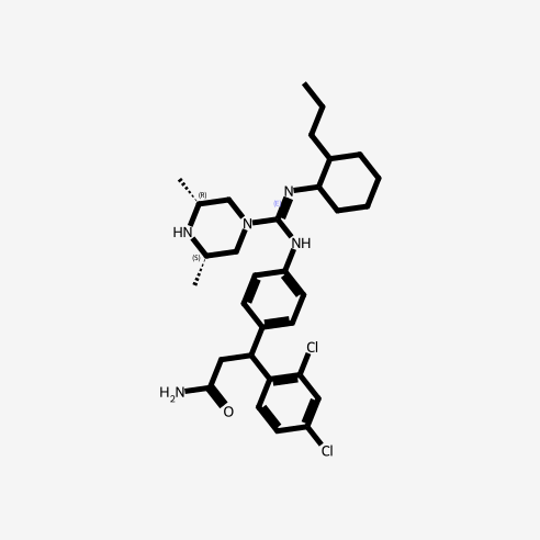 CCCC1CCCCC1/N=C(\Nc1ccc(C(CC(N)=O)c2ccc(Cl)cc2Cl)cc1)N1C[C@@H](C)N[C@@H](C)C1